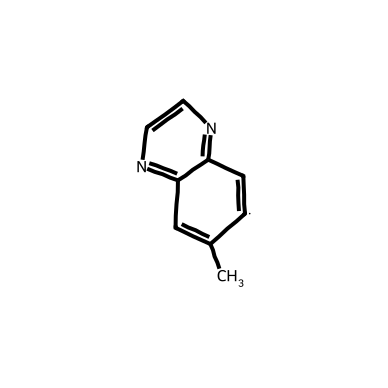 Cc1[c]cc2nccnc2c1